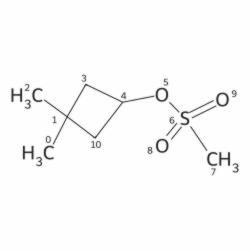 CC1(C)CC(OS(C)(=O)=O)C1